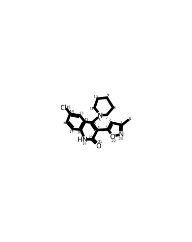 Cc1cc(-c2c(N3CCCCC3)c3cc(Cl)ccc3[nH]c2=O)on1